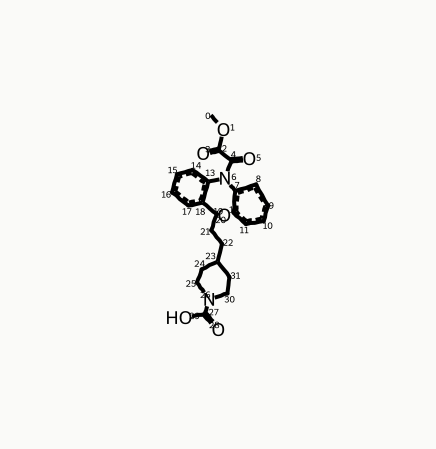 COC(=O)C(=O)N(c1ccccc1)c1ccccc1C(=O)CCC1CCN(C(=O)O)CC1